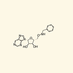 O[C@@H]1[C@H](O)[C@@H](CONCc2ccccc2)O[C@H]1n1cnc2cncnc21